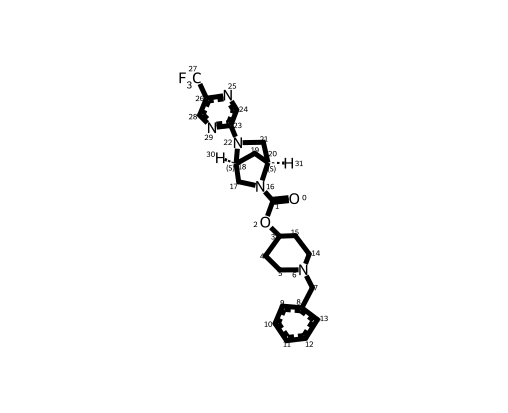 O=C(OC1CCN(Cc2ccccc2)CC1)N1C[C@@H]2C[C@H]1CN2c1cnc(C(F)(F)F)cn1